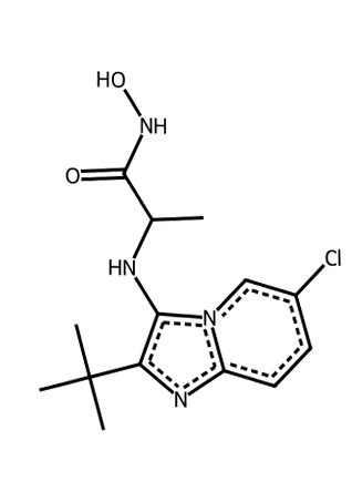 CC(Nc1c(C(C)(C)C)nc2ccc(Cl)cn12)C(=O)NO